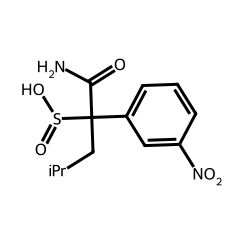 CC(C)CC(C(N)=O)(c1cccc([N+](=O)[O-])c1)S(=O)O